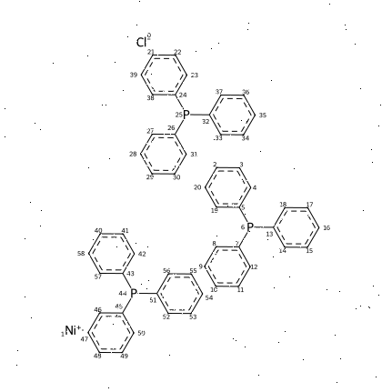 [Cl-].[Ni+].c1ccc(P(c2ccccc2)c2ccccc2)cc1.c1ccc(P(c2ccccc2)c2ccccc2)cc1.c1ccc(P(c2ccccc2)c2ccccc2)cc1